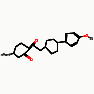 CCCCCC1CCC(C(=O)CC2CCC(c3ccc(OCC)cc3)CC2)C(=O)C1